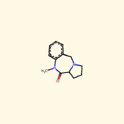 CN1C(=O)C2CCCN2Cc2ccccc21